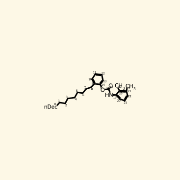 CCCCCCCCCCCCCCCCCCc1ccccc1OC(=O)Nc1cccc(C)c1C